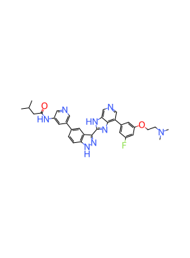 CC(C)CC(=O)Nc1cncc(-c2ccc3[nH]nc(-c4nc5c(-c6cc(F)cc(OCCN(C)C)c6)cncc5[nH]4)c3c2)c1